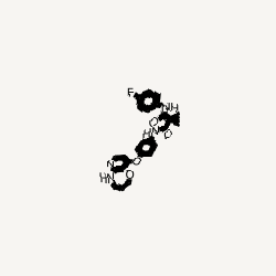 O=C(Nc1ccc(F)cc1)C1(C(=O)Nc2ccc(Oc3ccnc4c3OCCCN4)cc2)CC1